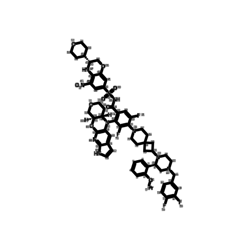 CC(C)Oc1ccccc1[C@@H]1CN(Cc2ccc(F)c(F)c2)CCN1C1CC2(CCN(c3c(F)cc(C(=O)NS(=O)(=O)c4cc5c(c([N+](=O)[O-])c4)N[C@H](C4CCOCC4)CO5)c(N4c5cc6cc[nH]c6nc5O[C@H]5COCC[C@@H]54)c3F)CC2)C1